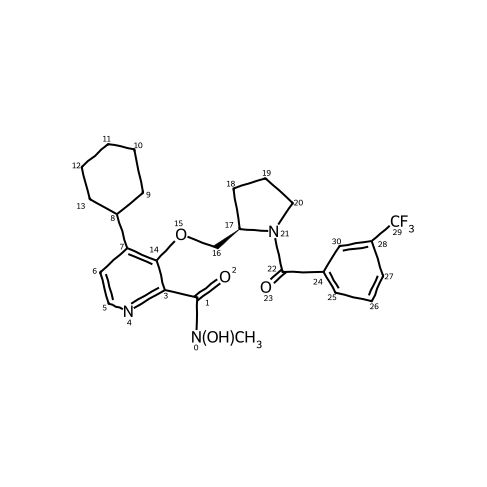 CN(O)C(=O)c1nccc(C2CCCCC2)c1OC[C@H]1CCCN1C(=O)c1cccc(C(F)(F)F)c1